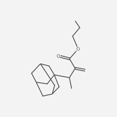 C=C(C(=O)OCCC)C(C)C12CC3CC(CC(C3)C1)C2